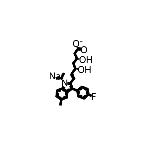 Cc1ccc2c(c1)c(-c1ccc(F)cc1)c(/C=C/[C@H](O)C[C@H](O)CC(=O)[O-])n2C(C)C.[Na+]